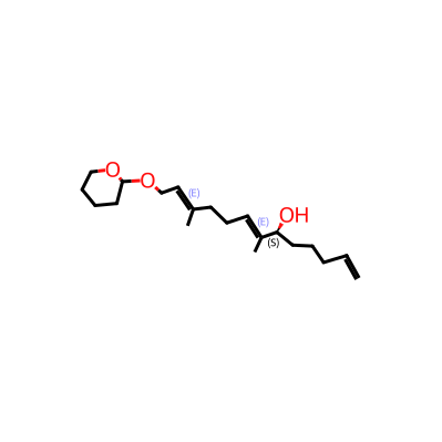 C=CCCC[C@H](O)/C(C)=C/CC/C(C)=C/COC1CCCCO1